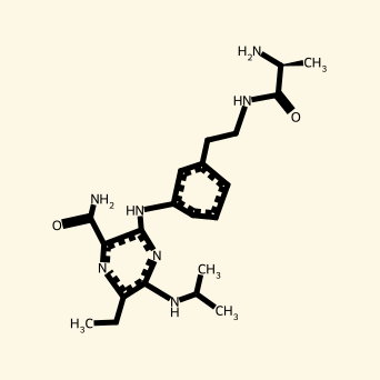 CCc1nc(C(N)=O)c(Nc2cccc(CCNC(=O)[C@H](C)N)c2)nc1NC(C)C